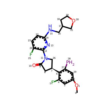 COc1cc(F)c([C@H]2CC(=O)N(c3nc(NCC4CCOC4)ccc3F)C2)c(P)c1